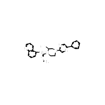 CC(C)C1CN(c2cnc(-c3ccccc3)cn2)CCN1/C(=N\C#N)Nc1cccc2ncccc12